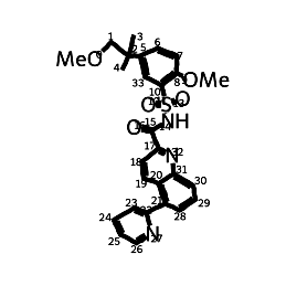 COCC(C)(C)c1ccc(OC)c(S(=O)(=O)NC(=O)c2ccc3c(-c4ccccn4)cccc3n2)c1